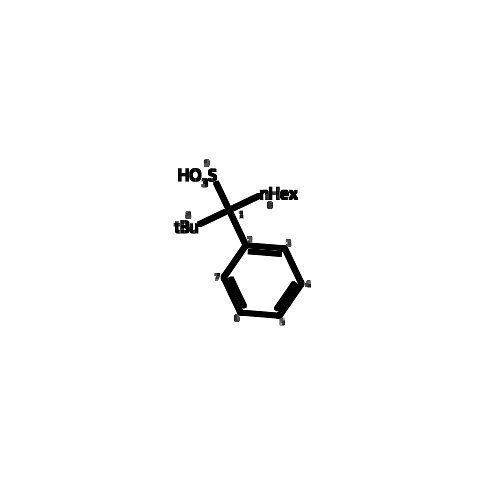 CCCCCCC(c1ccccc1)(C(C)(C)C)S(=O)(=O)O